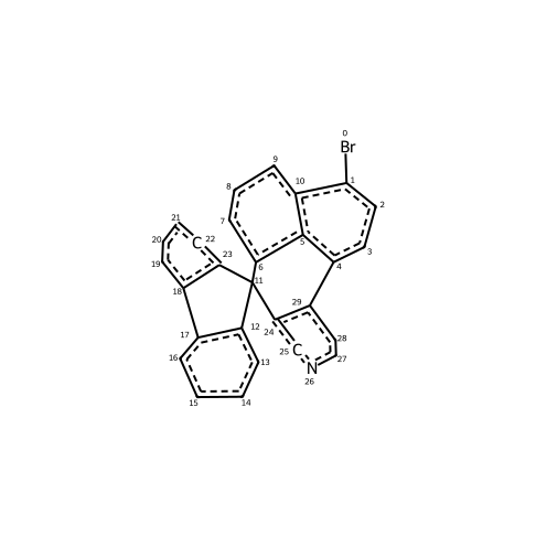 Brc1ccc2c3c(cccc13)C1(c3ccccc3-c3ccccc31)c1cnccc1-2